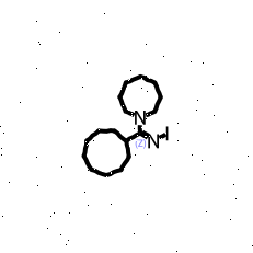 I/N=C(/C1CCCCCCCC1)N1CCCCCCC1